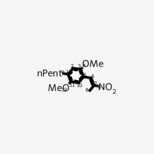 CCCCCc1cc(OC)c(/C=C(\C)[N+](=O)[O-])cc1OC